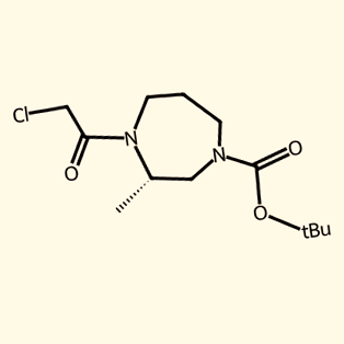 C[C@H]1CN(C(=O)OC(C)(C)C)CCCN1C(=O)CCl